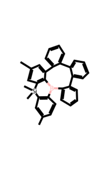 Cc1ccc2c(c1)[Si](C)(C)c1cc(C)cc3c1B2c1ccccc1-c1ccccc1-c1ccccc1-3